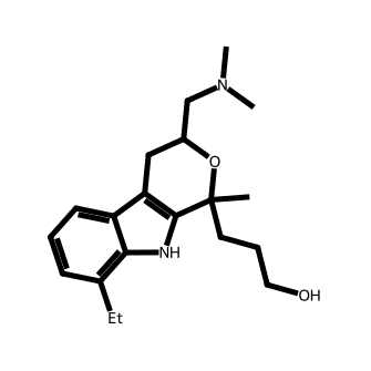 CCc1cccc2c3c([nH]c12)C(C)(CCCO)OC(CN(C)C)C3